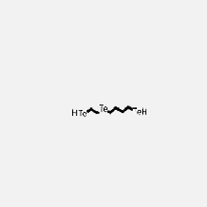 [TeH]CCC[CH][Te]CC[TeH]